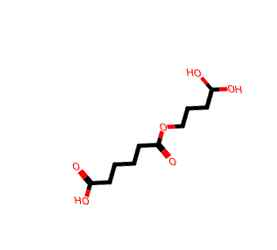 O=C(O)CCCCC(=O)OCCCC(O)O